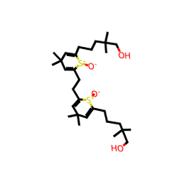 CC1(C)C=C(CCCC(C)(C)CO)[S+]([O-])C(CCC2=CC(C)(C)C=C(CCCC(C)(C)CO)[S+]2[O-])=C1